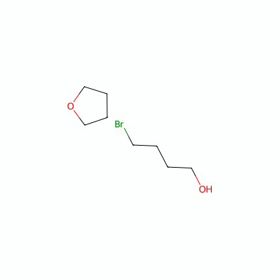 C1CCOC1.OCCCCBr